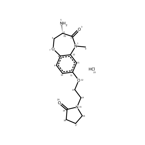 CN1C(=O)[C@@H](N)COc2ccc(OCCN3CCCC3=O)cc21.Cl